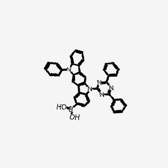 OB(O)c1ccc2c(c1)c1cc3c(cc1n2-c1nc(-c2ccccc2)nc(-c2ccccc2)n1)c1ccccc1n3-c1ccccc1